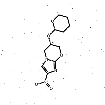 O=[N+]([O-])c1cn2c(n1)OC[C@H](OC1CCCCO1)C2